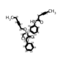 CC#CCC(=O)Nc1cccc([N+](CC)(OCC#CCC)C(=O)Cc2ccccc2)c1